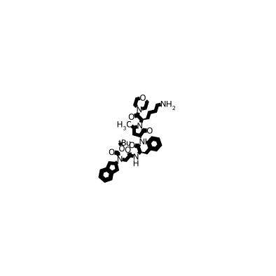 CC1C[C@@H](NC(=O)[C@@H](Cc2ccccc2)NC(=O)CN(C(=O)OC(C)(C)C)C2Cc3ccccc3C2)C(=O)N1[C@H](CCCCN)C(=O)N1CCOCC1